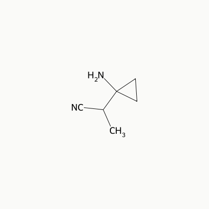 CC(C#N)C1(N)CC1